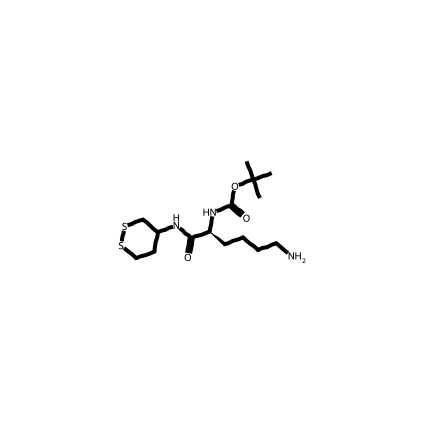 CC(C)(C)OC(=O)N[C@@H](CCCCN)C(=O)NC1CCSSC1